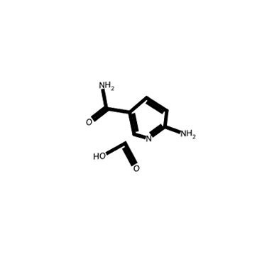 NC(=O)c1ccc(N)nc1.O=CO